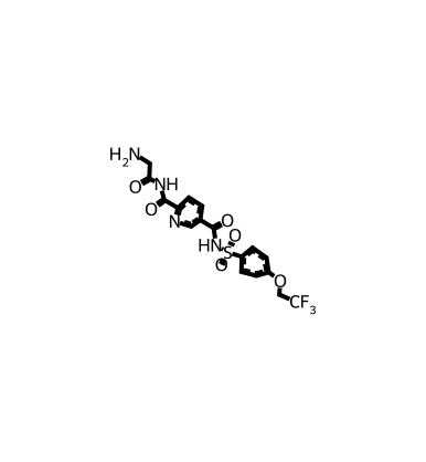 NCC(=O)NC(=O)c1ccc(C(=O)NS(=O)(=O)c2ccc(OCC(F)(F)F)cc2)cn1